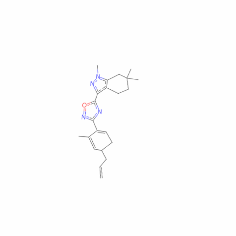 C=CCC1C=C(C)C(c2noc(-c3nn(C)c4c3CCC(C)(C)C4)n2)=CC1